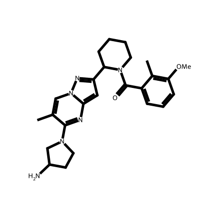 COc1cccc(C(=O)N2CCCCC2c2cc3nc(N4CCC(N)C4)c(C)cn3n2)c1C